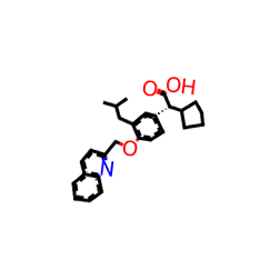 CC(C)Cc1cc([C@H](C(=O)O)C2CCCC2)ccc1OCc1ccc2ccccc2n1